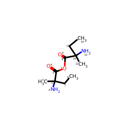 CCC(C)(N)C(=O)OC(=O)C(C)(N)CC